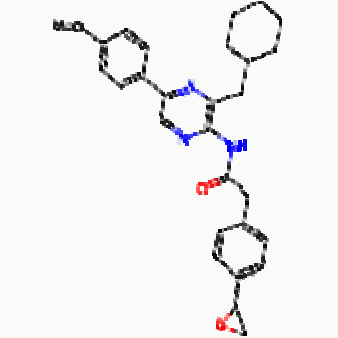 COc1ccc(-c2cnc(NC(=O)Cc3ccc(C4CO4)cc3)c(CC3CCCCC3)n2)cc1